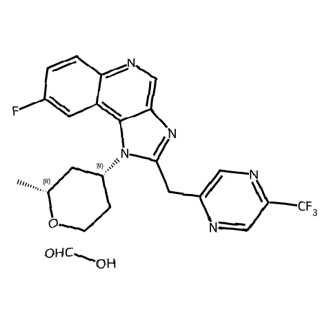 C[C@@H]1C[C@H](n2c(Cc3cnc(C(F)(F)F)cn3)nc3cnc4ccc(F)cc4c32)CCO1.O=CO